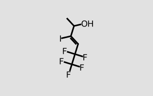 CC(O)/C(I)=C/C(F)(F)C(F)(F)F